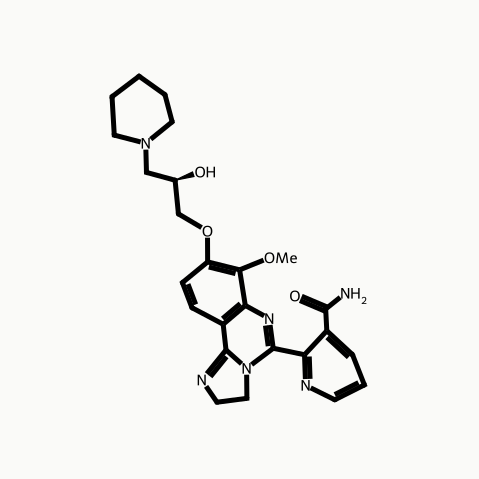 COc1c(OC[C@H](O)CN2CCCCC2)ccc2c1N=C(c1ncccc1C(N)=O)N1CCN=C21